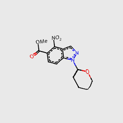 COC(=O)c1ccc2c(cnn2C2CCCCO2)c1[N+](=O)[O-]